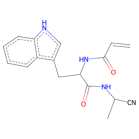 C=CC(=O)NC(Cc1c[nH]c2ccccc12)C(=O)NC(C)C#N